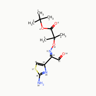 CC(C)(C)OC(=O)C(C)(C)ON=C([C]=O)c1csc(N)n1